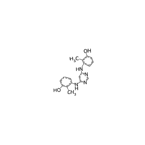 Cc1c(O)cccc1Nc1cc(Nc2cccc(O)c2C)ncn1